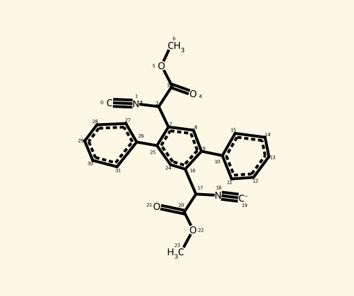 [C-]#[N+]C(C(=O)OC)c1cc(-c2ccccc2)c(C([N+]#[C-])C(=O)OC)cc1-c1ccccc1